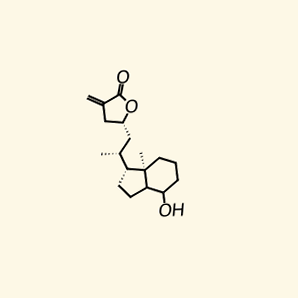 C=C1C[C@@H](C[C@@H](C)[C@H]2CCC3C(O)CCC[C@@]32C)OC1=O